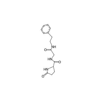 O=C(CNC(=O)C1CCC(=O)N1)NCCc1ccccc1